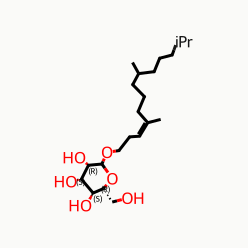 CC(=CCCOC1O[C@H](CO)[C@@H](O)[C@H](O)[C@H]1O)CCCC(C)CCCC(C)C